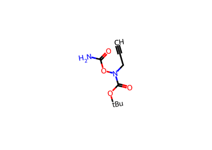 C#CCN(OC(N)=O)C(=O)OC(C)(C)C